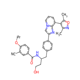 Cc1noc(C)c1-c1cccn2cc(-c3ccc(CC(CCO)NC(=O)c4ccc(OC(C)C)c(C#N)c4)cc3)nc12